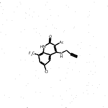 C#CCNc1c(C(C)=O)c(=O)[nH]c2c(C(F)(F)F)cc(Cl)cc12